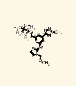 COCn1ccs/c1=N\c1cc(-c2nnn(C)n2)cc(CO[Si](C)(C)C(C)(C)C)n1